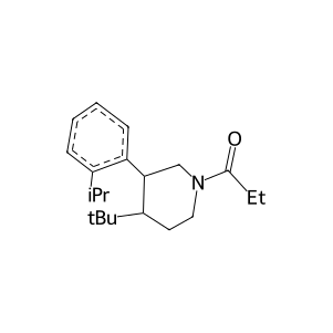 CCC(=O)N1CCC(C(C)(C)C)C(c2ccccc2C(C)C)C1